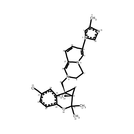 Cc1cn(C2=CN3CCN(C[C@@]45C[C@]4(C)C(C)(C)Oc4ccc(Cl)cc45)C=C3C=C2)cn1